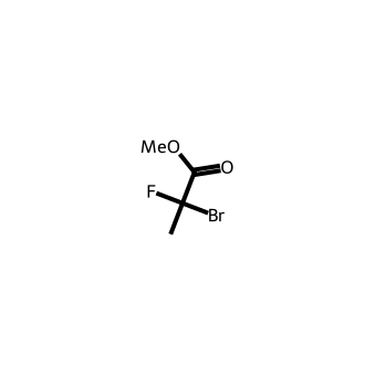 COC(=O)C(C)(F)Br